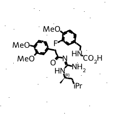 COc1ccc(CC(=O)N=C(N)N[C@H](C)CC(C)C)cc1OC.COc1ccc(CNC(=O)O)cc1F